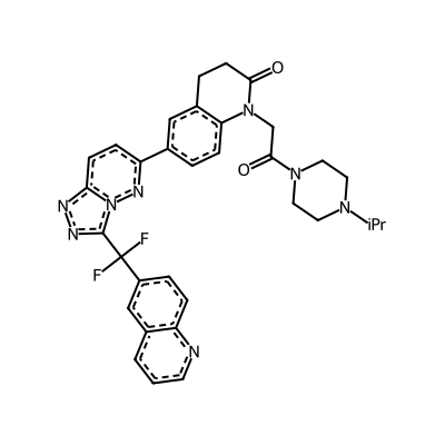 CC(C)N1CCN(C(=O)CN2C(=O)CCc3cc(-c4ccc5nnc(C(F)(F)c6ccc7ncccc7c6)n5n4)ccc32)CC1